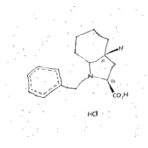 Cl.O=C(O)[C@@H]1C[C@H]2CCCCC2N1Cc1ccccc1